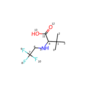 CC(C)(C)C(NCC(F)(F)F)C(=O)O